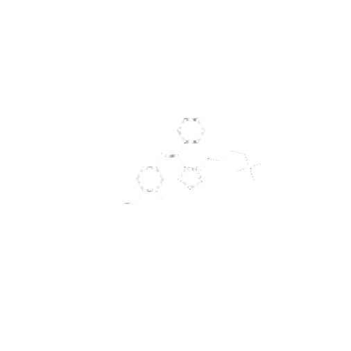 COc1ccc(/N=C(/c2ccccc2)c2nccn2COCC[Si](C)(C)C)cc1Cl